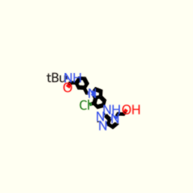 CC(C)(C)NC(=O)c1cccc(Cn2ccc3cc(Nc4ncnc5ccn(CCO)c45)cc(Cl)c32)c1